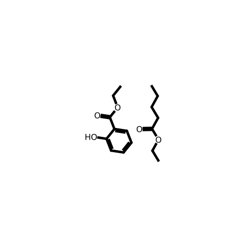 CCCCC(=O)OCC.CCOC(=O)c1ccccc1O